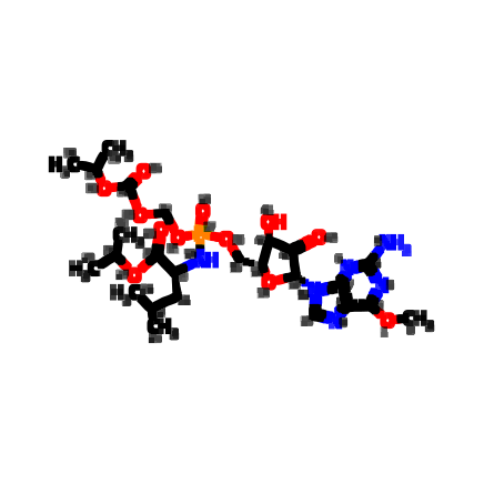 COc1nc(N)nc2c1ncn2[C@@H]1O[C@H](COP(=O)(N[C@@H](CC(C)C)C(=O)OC(C)C)OCOC(=O)OC(C)C)[C@@H](O)C1=O